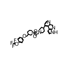 O=S(=O)(CN1CCC(c2ccnc3cnc4[nH]ccc4c23)CC1)N1CCCC(COc2ccc(OC(F)(F)F)cc2)C1